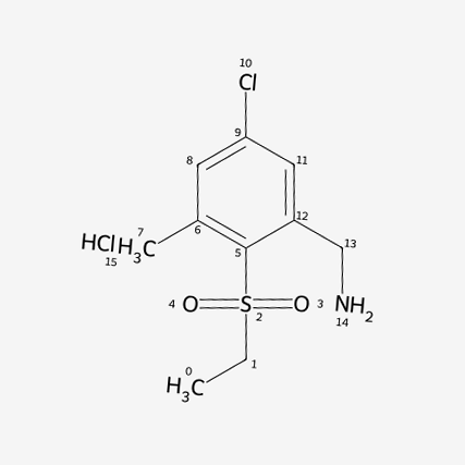 CCS(=O)(=O)c1c(C)cc(Cl)cc1CN.Cl